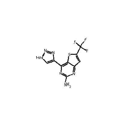 Nc1nc(-c2c[nH]nn2)c2sc(C(F)(F)F)cc2n1